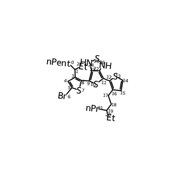 CCCCCC(CC)c1cc(Br)sc1-c1sc(-c2sccc2CCC(CC)CCC)c2c1NSN2